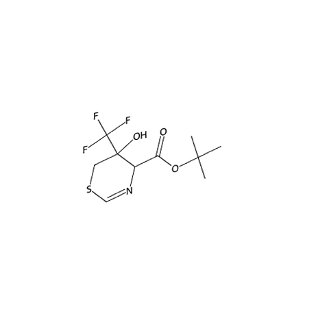 CC(C)(C)OC(=O)C1N=CSCC1(O)C(F)(F)F